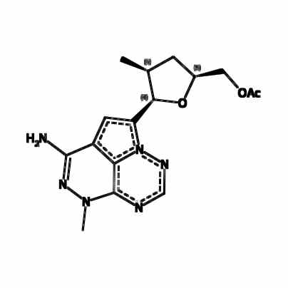 CC(=O)OC[C@@H]1C[C@H](C)[C@H](c2cc3c4c(ncnn24)N(C)N=C3N)O1